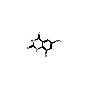 COc1cc(Br)c2[nH]c(=O)[nH]c(=O)c2c1